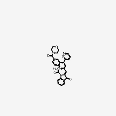 CC(=O)N1/C(=C\c2cc(-c3cccnn3)c3cc(C(=O)N4CCOCC4)ccc3n2)C(=O)c2ccccc21